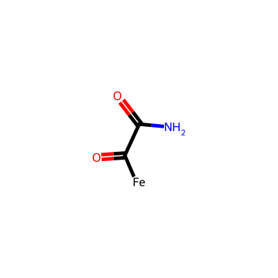 NC(=O)[C](=O)[Fe]